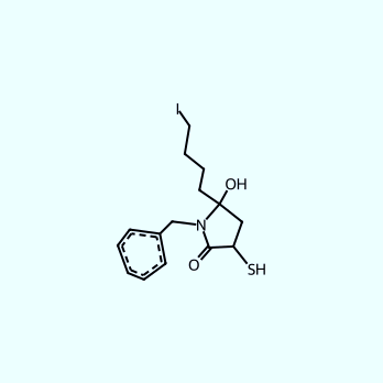 O=C1C(S)CC(O)(CCCCI)N1Cc1ccccc1